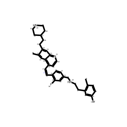 Cc1ccc(Br)cc1CCNCc1ccc(/C=C\c2ccnc3cc(CCC4CCNCC4)c(C)cc23)c(F)c1